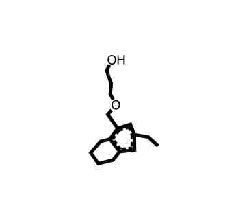 CCc1cc2c(c(COCCCO)c1)CCCC2